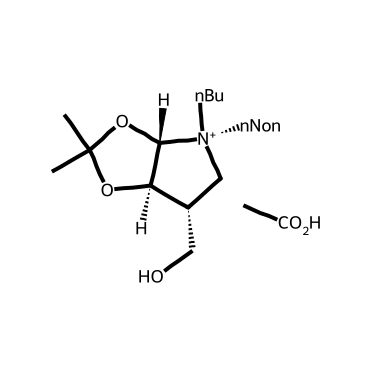 CC(=O)O.CCCCCCCCC[N@+]1(CCCC)C[C@H](CO)[C@H]2OC(C)(C)O[C@@H]21